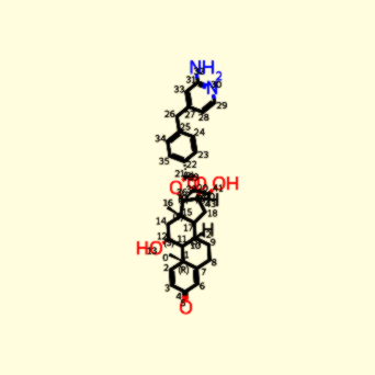 C[C@]12C=CC(=O)C=C1CC[C@@H]1C2[C@@H](O)C[C@@]2(C)C1C[C@H]1O[C@@H](c3ccc(Cc4ccnc(N)c4)cc3)O[C@]12C(=O)CO